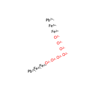 [Fe+2].[Fe+2].[Fe+3].[Fe+3].[O-2].[O-2].[O-2].[O-2].[O-2].[O-2].[O-2].[Pb+2].[Pb+2]